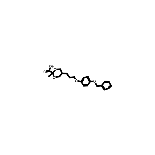 CC1(C(=O)O)OCC(CCCOc2ccc(OCc3ccccc3)cc2)CO1